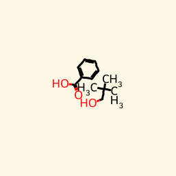 CC(C)(C)CO.O=C(O)c1ccccc1